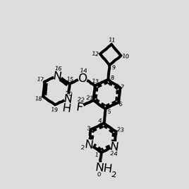 Nc1ncc(-c2ccc(C3CCC3)c(OC3=NC=CCN3)c2F)cn1